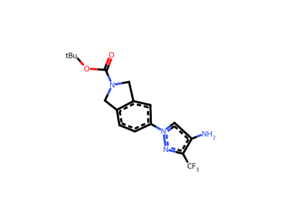 CC(C)(C)OC(=O)N1Cc2ccc(-n3cc(N)c(C(F)(F)F)n3)cc2C1